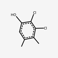 Cc1cc(O)c(Cl)c(Cl)c1C